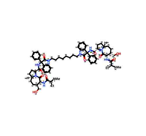 CC[C@H](NC)C(=O)N[C@@H]1C(=O)N2[C@@H](CC[C@@H]1CO)CC[C@H]2C(=O)NC(C(=O)NCCCCCCCCNC(=O)C(NC(=O)[C@@H]1CC[C@@H]2CC[C@H](CO)[C@H](NC(=O)[C@H](CC)NC)C(=O)N21)(c1ccccc1)c1ccccc1)(c1ccccc1)c1ccccc1